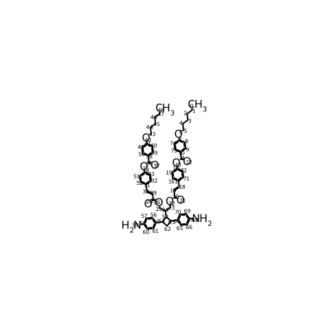 CCCCCCOc1ccc(C(=O)Oc2ccc(/C=C/C(=O)OCC(COC(=O)/C=C/c3ccc(OC(=O)c4ccc(OCCCCCC)cc4)cc3)C3C(c4ccc(N)cc4)CC3c3ccc(N)cc3)cc2)cc1